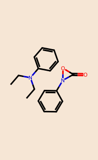 CCN(CC)c1ccccc1.O=C1ON1c1ccccc1